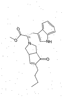 CCCCC1=CC2CN([C@@H](Cc3c[nH]c4ccccc34)C(=O)OC)CC2C1=O